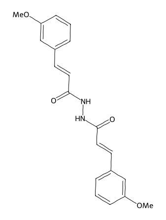 COc1cccc(/C=C/C(=O)NNC(=O)/C=C/c2cccc(OC)c2)c1